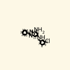 Nc1cc(NCc2cccc(Cl)c2)cc2nc(-c3ccccc3)nn12